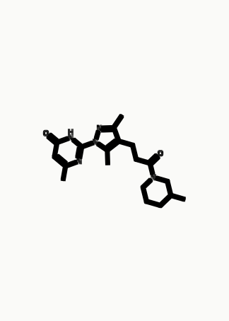 Cc1cc(=O)[nH]c(-n2nc(C)c(CCC(=O)N3CCCC(C)C3)c2C)n1